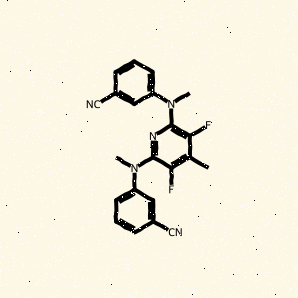 Cc1c(F)c(N(C)c2cccc(C#N)c2)nc(N(C)c2cccc(C#N)c2)c1F